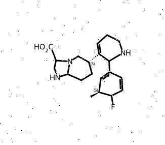 C[C@H]1C=C(C2NCCC=C2[C@@H]2CCC3NCC(C(=O)O)N3C2)C=CC1F